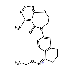 Nc1ncnc2c1C(=O)N(c1ccc3c(c1)CCC/C3=N/OCC(F)(F)F)CCO2